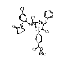 CC(C)(C)OC(=O)c1ccc(NC(=O)C(Cc2ccccc2)NC(=O)C(=O)Nc2cc(Cl)ccc2N2CCCC2=O)cc1